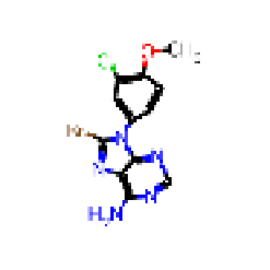 COc1ccc(-n2c(Br)nc3c(N)ncnc32)cc1Cl